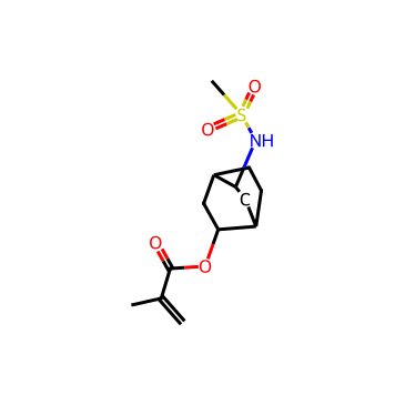 C=C(C)C(=O)OC1CC2CCC1CC2NS(C)(=O)=O